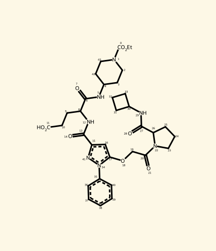 CCOC(=O)N1CCC(NC(=O)C(CCC(=O)O)NC(=O)c2cc(OCC(=O)N3CCCC3C(=O)NC3CCC3)n(-c3ccccc3)n2)CC1